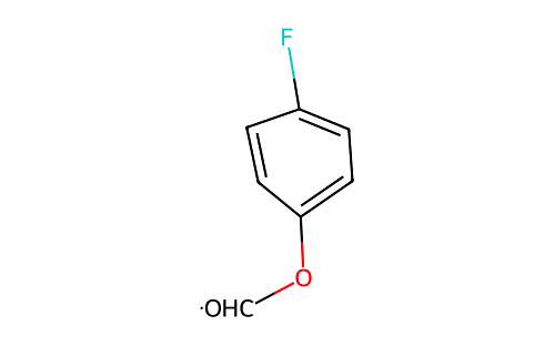 O=[C]Oc1ccc(F)cc1